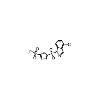 CC(C)S(=O)(=O)c1ccc(S(=O)(=O)n2ncc3c(Cl)cccc32)s1